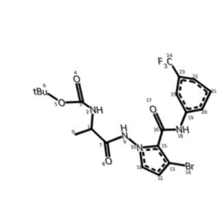 CC(NC(=O)OC(C)(C)C)C(=O)Nn1ccc(Br)c1C(=O)Nc1cccc(C(F)(F)F)c1